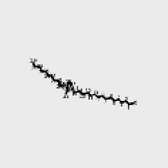 CCCCCCCCCCCCCCCC[n+]1ccn(CCCCCCCCCC)c1C